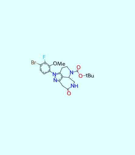 COc1c(-n2nc3c4c2CCN(C(=O)OC(C)(C)C)C4CNC(=O)C3)ccc(Br)c1F